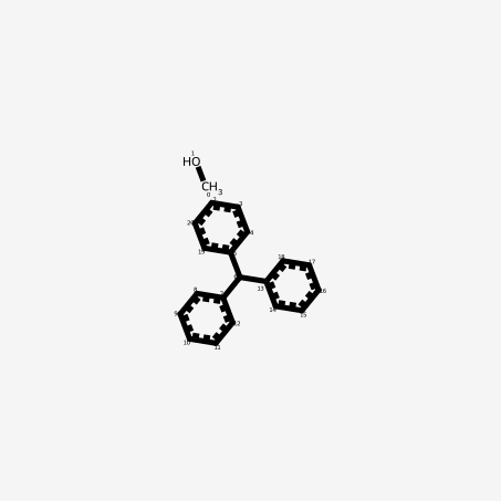 CO.c1ccc(C(c2ccccc2)c2ccccc2)cc1